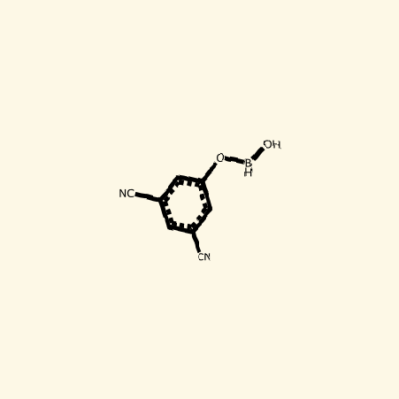 N#Cc1cc(C#N)cc(OBO)c1